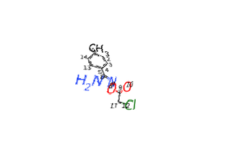 Cc1ccc(C(N)=NOC(=O)CCl)cc1